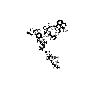 C#CCN1C(=O)COc2cc(F)c(/N=c3\snc4n3CC(C)(C)C4)cc21.CC1(C)OC(c2ccco2)CN1C(=O)C(Cl)Cl.CCc1cccc(CC)c1N(COC)C(=O)CCl.C[S+](C)C.O=C(O)CNCP(=O)([O-])O